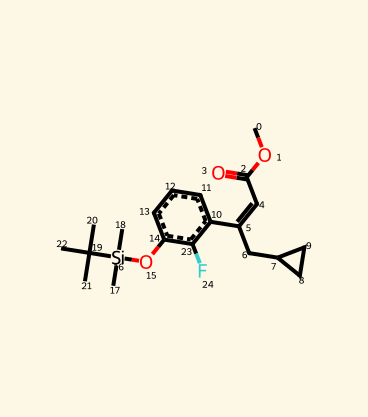 COC(=O)C=C(CC1CC1)c1cccc(O[Si](C)(C)C(C)(C)C)c1F